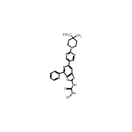 CCNC(=O)Nc1nc2cc(-c3cnc(N4CCC(C)(C(=O)OCC)CC4)nc3)nc(-c3ccccn3)c2s1